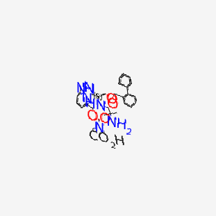 CN(CC(=O)O)C(=O)OCc1cccc2nnc([C@@H](COCc3ccccc3-c3ccccc3)NC(=O)C(C)(C)N)n12